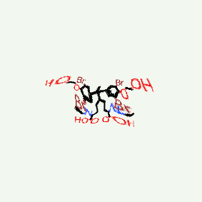 C=CN=C(CCC(CCC(=NC=C)C(=O)O)C(C)(c1cc(Br)c(OCCO)c(Br)c1)c1cc(Br)c(OCCO)c(Br)c1)C(=O)O